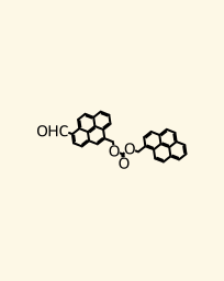 O=Cc1ccc2cc(COC(=O)OCc3ccc4ccc5cccc6ccc3c4c56)c3cccc4ccc1c2c43